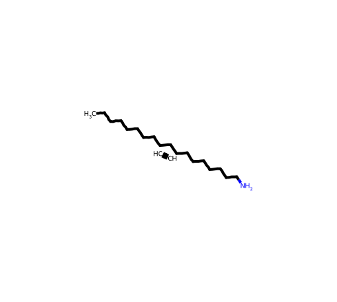 C#C.CCCCCCCCCCCCCCCCCCN